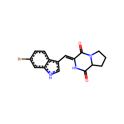 O=C1N/C(=C\c2c[nH]c3cc(Br)ccc23)C(=O)N2CCCC12